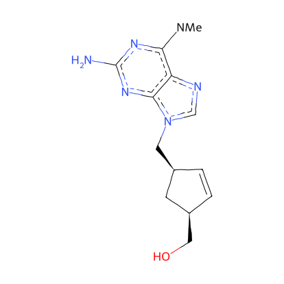 CNc1nc(N)nc2c1ncn2C[C@H]1C=C[C@@H](CO)C1